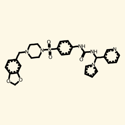 O=C(Nc1ccc(S(=O)(=O)N2CCN(Cc3ccc4c(c3)OCO4)CC2)cc1)NC(c1cccnc1)n1cccc1